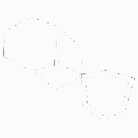 c1ccc(B2C3CCCC2CCC3)cc1